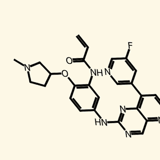 C=CC(=O)Nc1cc(Nc2ncc3nccc(-c4cncc(F)c4)c3n2)ccc1OC1CCN(C)C1